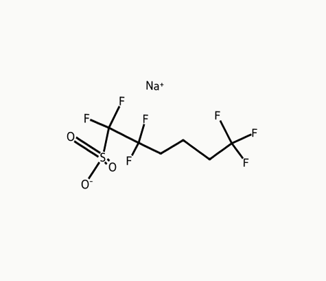 O=S(=O)([O-])C(F)(F)C(F)(F)CCCC(F)(F)F.[Na+]